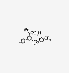 Cc1ccc(-c2cc(C3CCCN(c4ccc(C(F)(F)F)cc4)C3)cc(C(CC(C)C)C(=O)O)c2)cc1